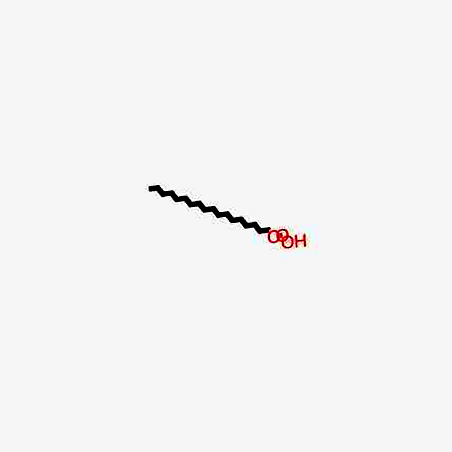 CCCCCCCCCCCCCCCCCCOOO